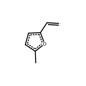 [CH]=Cc1ccc(C)o1